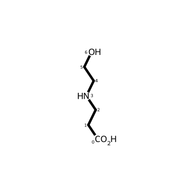 O=C(O)CCNCCO